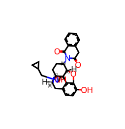 O=C1Cc2ccccc2C(=O)N1[C@@H]1CC[C@@]2(O)[C@H]3Cc4ccc(O)c5c4[C@@]2(CCN3CC2CC2)[C@H]1O5